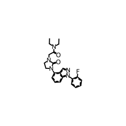 CCN(CC)C(=O)CN1CCN(c2cccc3c2cnn3-c2ccccc2F)C1=O